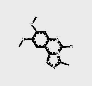 COc1cc2nc(Cl)n3c(C)nnc3c2cc1OC